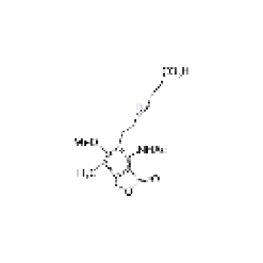 COc1c(C)c2c(c(NC(C)=O)c1CC/C=C/CCC(=O)O)C(=O)OC2